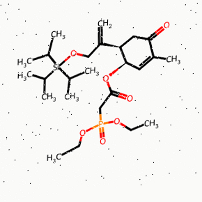 C=C(CO[Si](C(C)C)(C(C)C)C(C)C)[C@H]1CC(=O)C(C)=C[C@H]1OC(=O)CP(=O)(OCC)OCC